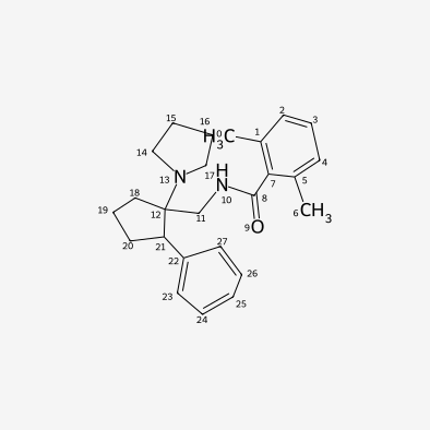 Cc1cccc(C)c1C(=O)NCC1(N2CCCC2)CCCC1c1ccccc1